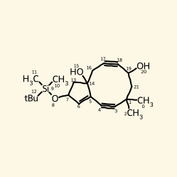 CC1(C)C#CC2=CC(O[Si](C)(C)C(C)(C)C)CC2(O)CC#CC(O)C1